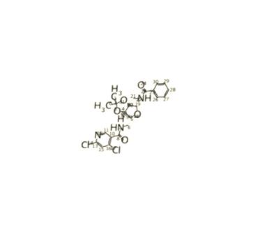 CC1(C)O[C@@H]2[C@@H](CNC(=O)c3cnc(Cl)cc3Cl)OC[C@]2(CNC(=O)c2ccccc2)O1